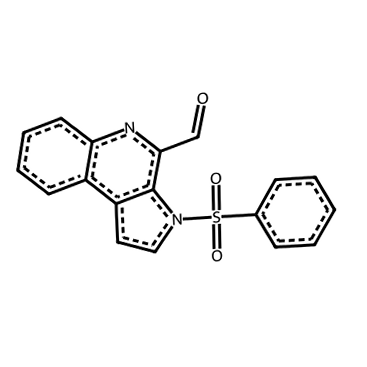 O=Cc1nc2ccccc2c2ccn(S(=O)(=O)c3ccccc3)c12